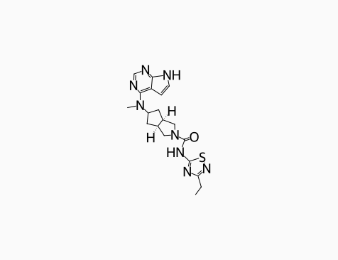 CCc1nsc(NC(=O)N2C[C@H]3CC(N(C)c4ncnc5[nH]ccc45)C[C@H]3C2)n1